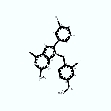 COc1nc(C)c2nc(-c3cncc(F)c3)n(Cc3ccc(OSC)cc3F)c2n1